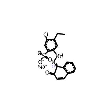 CCc1cc(N/N=C2/C(=O)C=Cc3ccccc32)c(S(=O)(=O)[O-])cc1Cl.[Na+]